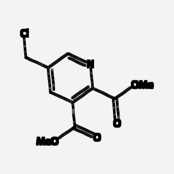 COC(=O)c1cc(CCl)cnc1C(=O)OC